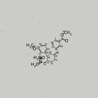 COC(=O)c1cccc(/C=C2/CC[C@@H](CN(C)C)[C@@](O)(c3cccc(OC)c3)C2)c1